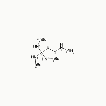 CCCCNC(CCN[SiH3])(NCCCC)NCCCC